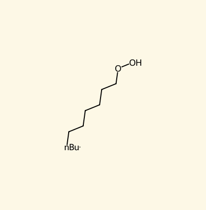 CCC[CH]CCCCCCOO